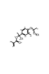 C=C(C)C(=O)OC(C)(CC)c1ccc(OC(C)OCC)c(C)c1